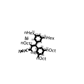 CCCCCCCCC(C(=C=[N+]=[N-])CCCC)=C(c1cc(CCCCCC)cc(CCCCCC)c1)c1cc(CCCCCCCC)cc(CCCCCCCC)c1.[Ni]